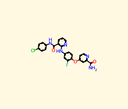 NC(=O)c1cc(Oc2ccc(Nc3ncccc3C(=O)Nc3ccc(Cl)cc3)cc2F)ccn1